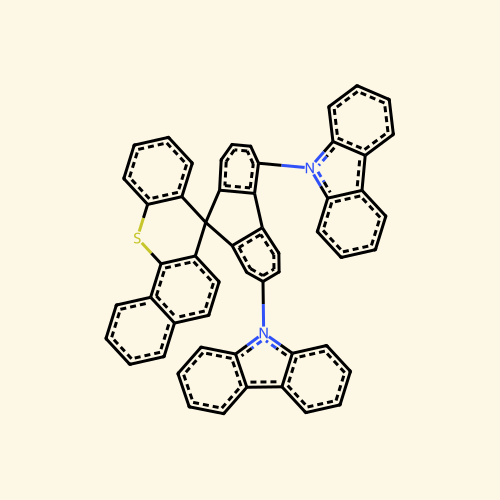 c1ccc2c(c1)Sc1c(ccc3ccccc13)C21c2cc(-n3c4ccccc4c4ccccc43)ccc2-c2c(-n3c4ccccc4c4ccccc43)cccc21